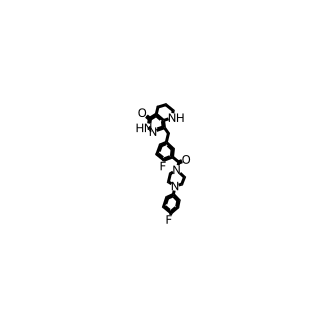 O=C(c1cc(Cc2n[nH]c(=O)c3c2NCCC3)ccc1F)N1CCN(c2ccc(F)cc2)CC1